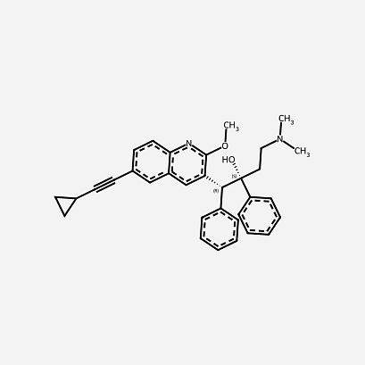 COc1nc2ccc(C#CC3CC3)cc2cc1[C@@H](c1ccccc1)[C@@](O)(CCN(C)C)c1ccccc1